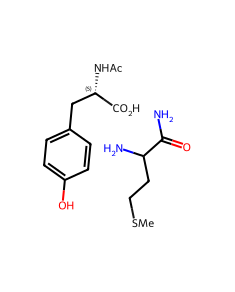 CC(=O)N[C@@H](Cc1ccc(O)cc1)C(=O)O.CSCCC(N)C(N)=O